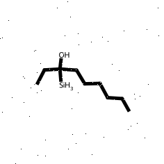 [CH2]CC(O)([SiH3])CCCCCC